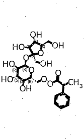 CC(C(=O)OOC[C@H]1O[C@H](O[C@]2(CO)O[C@H](CO)[C@@H](O)[C@@H]2O)[C@H](O)[C@@H](O)[C@@H]1O)c1ccccc1